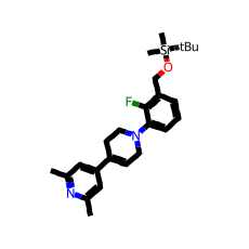 Cc1cc(C2=CCN(c3cccc(CO[Si](C)(C)C(C)(C)C)c3F)CC2)cc(C)n1